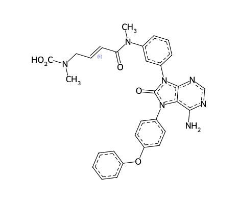 CN(C/C=C/C(=O)N(C)c1cccc(-n2c(=O)n(-c3ccc(Oc4ccccc4)cc3)c3c(N)ncnc32)c1)C(=O)O